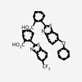 O=C(O)c1ccccc1-c1nc2cc(C(F)(F)F)ccc2s1.O=C(O)c1ccccc1-c1nc2ccc(Oc3ccccc3)cc2s1